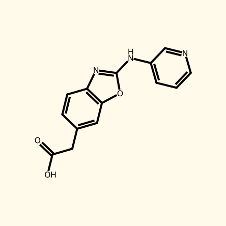 O=C(O)Cc1ccc2nc(Nc3cccnc3)oc2c1